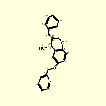 O[C@H]1c2cc(OCc3ccccn3)ccc2OC[C@@H]1Cc1ccccc1